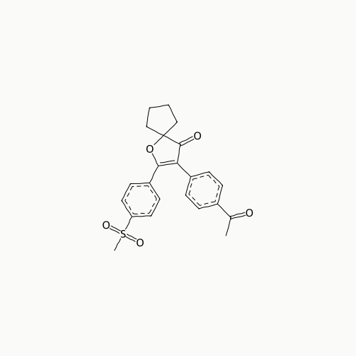 CC(=O)c1ccc(C2=C(c3ccc(S(C)(=O)=O)cc3)OC3(CCCC3)C2=O)cc1